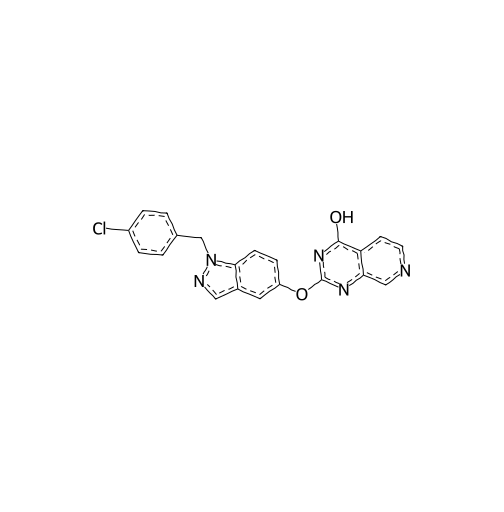 Oc1nc(Oc2ccc3c(cnn3Cc3ccc(Cl)cc3)c2)nc2cnccc12